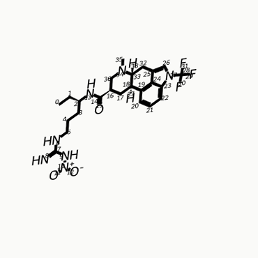 CC[C@H](CCCNC(=N)N[N+](=O)[O-])NC(=O)[C@@H]1C[C@@H]2c3cccc4c3c(cn4C(F)(F)F)C[C@H]2N(C)C1